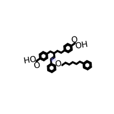 O=C(O)c1ccc(CCC(/C=C/c2ccccc2OCCCCCCc2ccccc2)Cc2ccc(C(=O)O)cc2)cc1